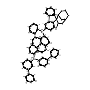 CC1CC2CCCC(C2)C12c1ccccc1-c1cc(N(c3ccccc3)c3ccc4ccc5c(N(c6cccc(-c7ccccc7)c6)c6cccc(-c7ccccc7)c6)ccc6ccc3c4c65)ccc12